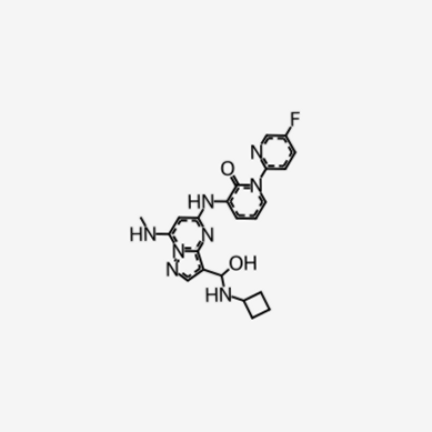 CNc1cc(Nc2cccn(-c3ccc(F)cn3)c2=O)nc2c(C(O)NC3CCC3)cnn12